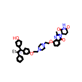 CC/C(=C(\c1ccc(O)cc1)c1ccc(OCCN2CCN(CCOc3cccc4c(=O)n(C5CCC(=O)NC5=O)c(C)nc34)CC2)cc1)c1ccccc1